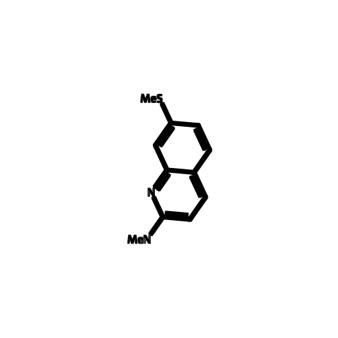 [CH2]Sc1ccc2ccc(NC)nc2c1